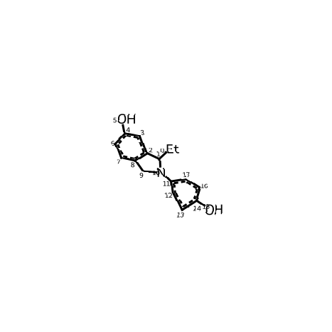 CCC1c2cc(O)ccc2CN1c1ccc(O)cc1